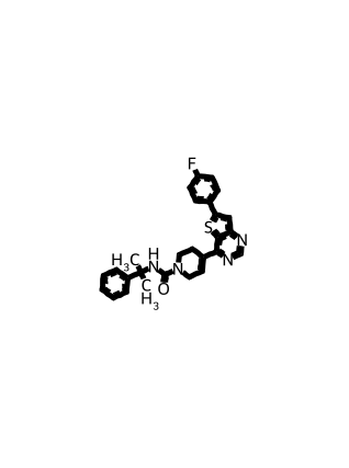 CC(C)(NC(=O)N1CC=C(c2ncnc3cc(-c4ccc(F)cc4)sc23)CC1)c1ccccc1